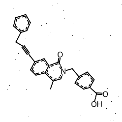 Cc1cn(Cc2ccc(C(=O)O)cc2)c(=O)c2cc(C#CCc3ccccc3)ccc12